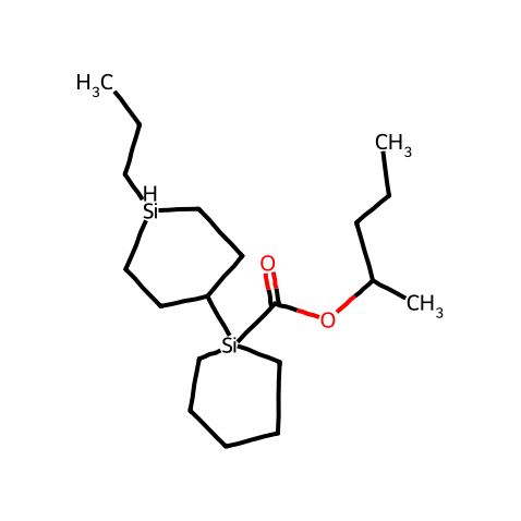 CCCC(C)OC(=O)[Si]1(C2CC[SiH](CCC)CC2)CCCCC1